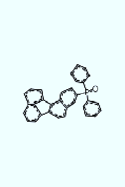 O=P(c1ccccc1)(c1ccccc1)c1ccc2c3c(ccc2c1)-c1cccc2cccc-3c12